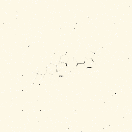 CC(C)(C)NC1CCC(N2CC[C@H](NC(=O)c3ccnc(C(C)(C)C)n3)C2=O)C(C)(C(=O)O)C1